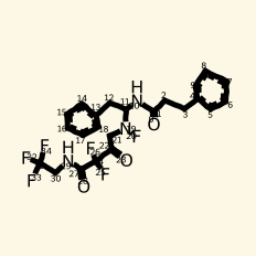 O=C(CCc1ccccc1)NC(Cc1ccccc1)N(F)CC(=O)C(F)(F)C(=O)NCC(F)(F)F